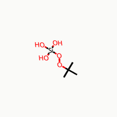 CC(C)(C)OO[Si](O)(O)O